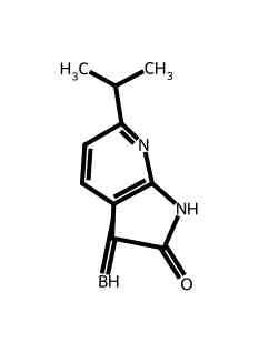 B=C1C(=O)Nc2nc(C(C)C)ccc21